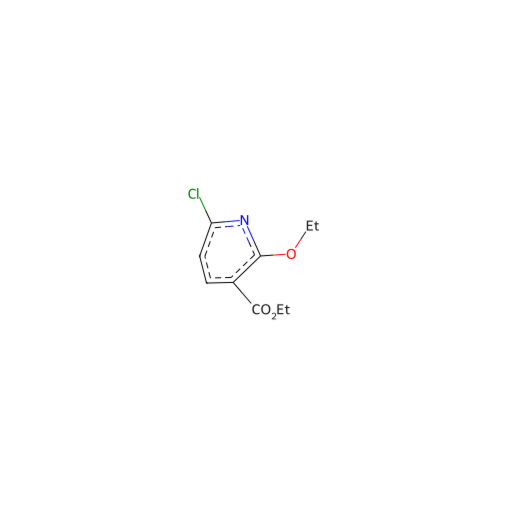 CCOC(=O)c1ccc(Cl)nc1OCC